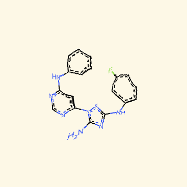 Nc1nc(Nc2cccc(F)c2)nn1-c1cc(Nc2ccccc2)ncn1